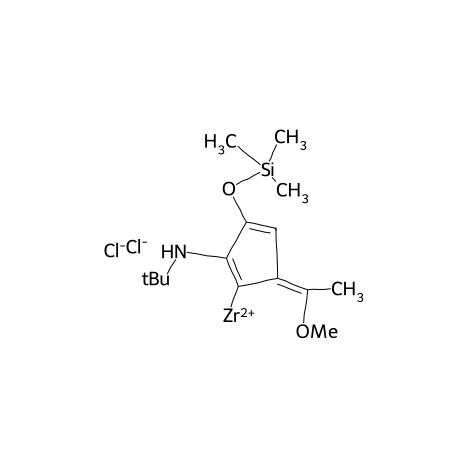 COC(C)=C1C=C(O[Si](C)(C)C)C(NC(C)(C)C)=[C]1[Zr+2].[Cl-].[Cl-]